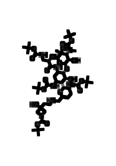 CN(C(=O)OC(C)(C)C)[C@@H]1[C@@H](O)[C@@H](O[C@H]2[C@H](NC(=O)[C@@H](O)CNC(=O)OC(C)(C)C)C[C@H](NC(=O)OC(C)(C)C)C([C@H]3OC(CNCCC4(O)CN(C(=O)OC(C)(C)C)C4)=CC[C@H]3NC(=O)OC(C)(C)C)[C@@H]2O)OC[C@]1(C)O